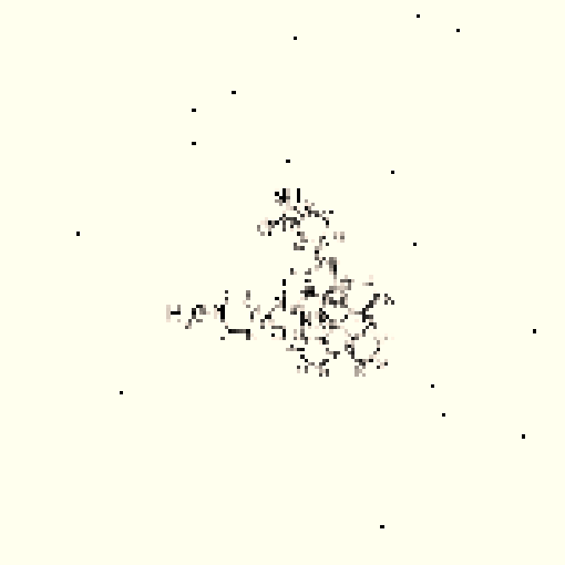 CN1CCC(C(=O)Nc2nn(C(c3ccccc3)(c3ccccc3)c3ccccc3)c3ccc(-c4cccc(C(N)=O)c4)cc23)CC1